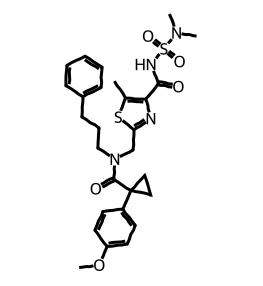 COc1ccc(C2(C(=O)N(CCCc3ccccc3)Cc3nc(C(=O)NS(=O)(=O)N(C)C)c(C)s3)CC2)cc1